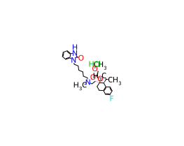 COCC(=O)O[C@]1(CCN(C)CCCCCCn2c(=O)[nH]c3ccccc32)CCc2cc(F)ccc2[C@@H]1C(C)C.Cl